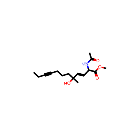 CCC#CCCCC(C)(O)/C=C/C(NC(C)=O)C(=O)OC